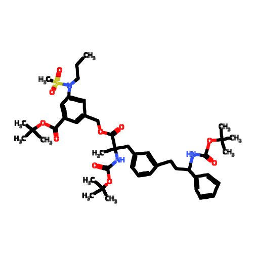 CCCN(c1cc(COC(=O)C(C)(Cc2cccc(CCC(NC(=O)OC(C)(C)C)c3ccccc3)c2)NC(=O)OC(C)(C)C)cc(C(=O)OC(C)(C)C)c1)S(C)(=O)=O